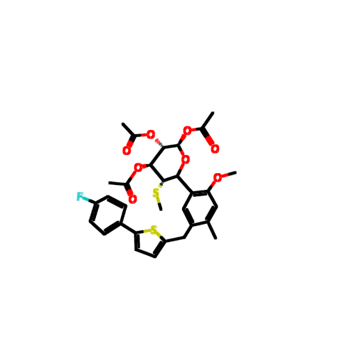 COc1cc(C)c(Cc2ccc(-c3ccc(F)cc3)s2)cc1C1O[C@H](OC(C)=O)[C@@H](OC(C)=O)[C@H](OC(C)=O)[C@H]1SC